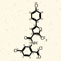 O=C(Cl)c1ccc(Cl)cc1NC(=O)c1cc(-c2ccc(Cl)cc2)oc1C(F)(F)F